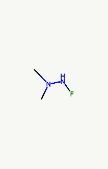 CN(C)NF